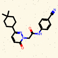 CC1(C)CCC(c2ccc(=O)n(CC(=O)Nc3ccc(C#N)cc3)n2)CC1